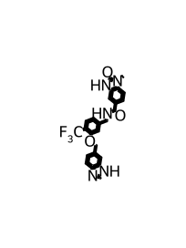 Cn1c(=O)[nH]c2cc(C(=O)NCc3ccc(C(F)(F)F)c(OCc4ccc5nc[nH]c5c4)c3)ccc21